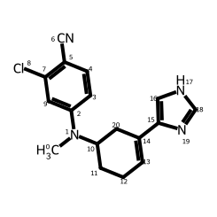 CN(c1ccc(C#N)c(Cl)c1)C1CCC=C(c2c[nH]cn2)C1